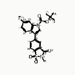 CN1C(=O)c2cc(-c3cn(C(=O)OC(C)(C)C)c4cc(F)ccc34)ccc2S1(=O)=O